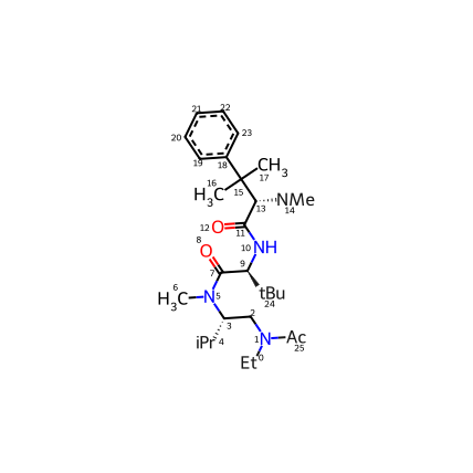 CCN(C[C@H](C(C)C)N(C)C(=O)[C@@H](NC(=O)[C@@H](NC)C(C)(C)c1ccccc1)C(C)(C)C)C(C)=O